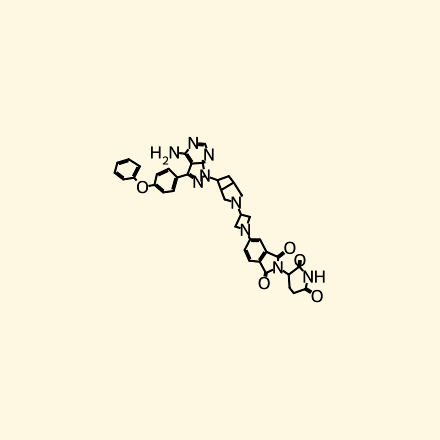 Nc1ncnc2c1c(-c1ccc(Oc3ccccc3)cc1)nn2C1CC2CN(C3CN(c4ccc5c(c4)C(=O)N(C4CCC(=O)NC4=O)C5=O)C3)CC21